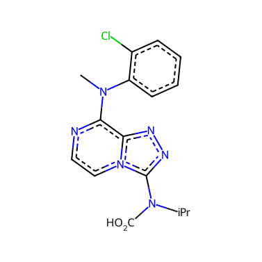 CC(C)N(C(=O)O)c1nnc2c(N(C)c3ccccc3Cl)nccn12